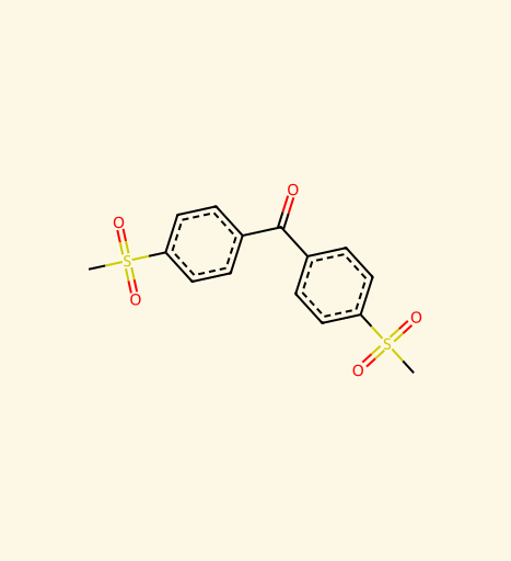 CS(=O)(=O)c1ccc(C(=O)c2ccc(S(C)(=O)=O)cc2)cc1